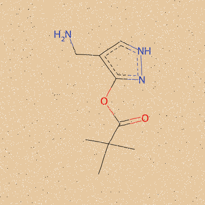 CC(C)(C)C(=O)Oc1n[nH]cc1CN